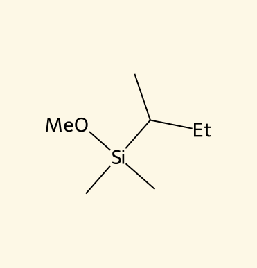 CCC(C)[Si](C)(C)OC